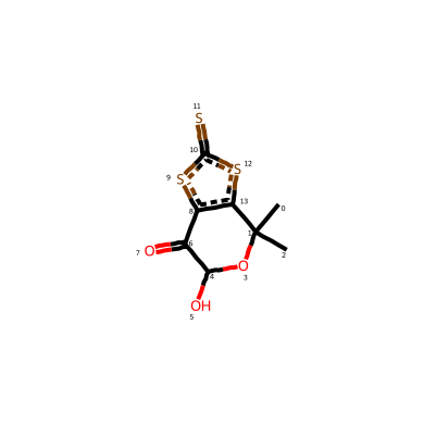 CC1(C)OC(O)C(=O)c2sc(=S)sc21